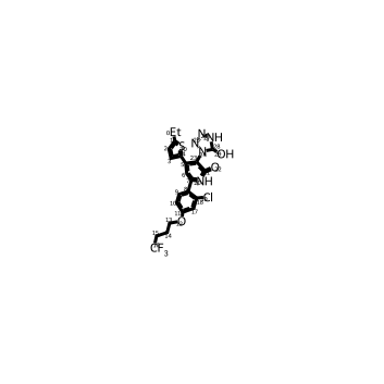 CCc1ccc(-c2cc(-c3ccc(OCCCC(F)(F)F)cc3Cl)[nH]c(=O)c2N2N=NNC2O)s1